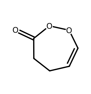 O=C1CCC=COO1